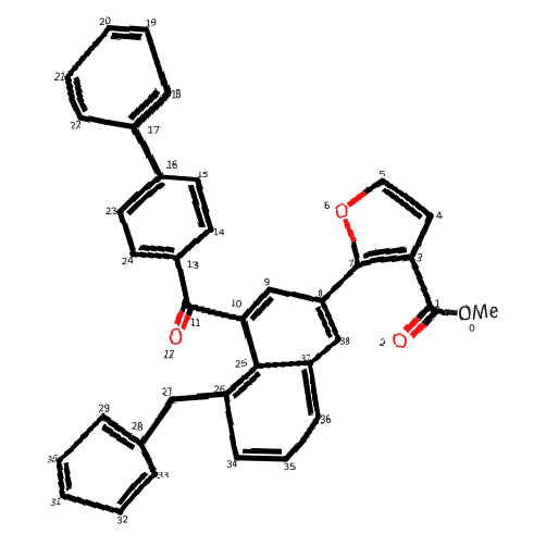 COC(=O)c1ccoc1-c1cc(C(=O)c2ccc(-c3ccccc3)cc2)c2c(Cc3ccccc3)cccc2c1